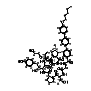 CCCCCOc1ccc(-c2ccc(-c3ccc(C(=O)NCC(=O)NC(C(=O)N4CCCC4C(=O)NC(C(=O)NC(CC)C(=O)N4C[C@H](C)CC4C(=O)NC(CC)NCCOCCO)[C@H](O)Cc4ccc(O)cc4)[C@@H](C)O)cc3)cc2)cc1